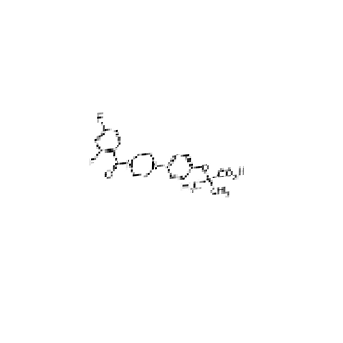 CC(C)(Oc1ccc(N2CCN(C(=O)c3ccc(F)cc3F)CC2)cc1)C(=O)O